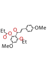 CCOc1cc(OC)cc(OC(=O)CC)c1C(=O)C=Cc1ccc(OC)cc1